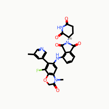 Cc1cncc(-c2c(Nc3cccc4c3C(=O)N([C@H]3CCC(=O)NC3=O)C4=O)cc3c(c2F)OCC(=O)N3C)c1